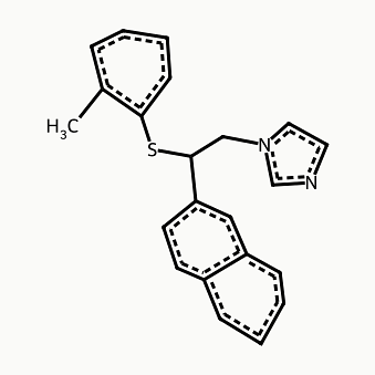 Cc1ccccc1SC(Cn1ccnc1)c1ccc2ccccc2c1